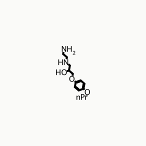 CCCOc1ccc(OCC(O)CNCCN)cc1